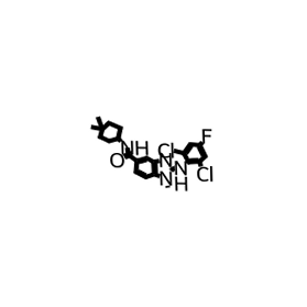 Cn1c(Nc2c(Cl)cc(F)cc2Cl)nc2cc(C(=O)NC3CCC(C)(C)CC3)ccc21